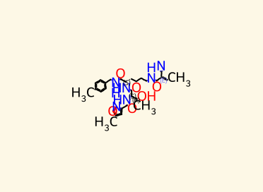 C/C=C(\C#N)C(=O)NCCCC[C@H](NC(=O)[C@@H](NC(=O)c1cc(C)on1)[C@@H](C)O)C(=O)NCc1ccc(C)cc1